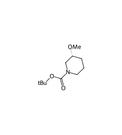 CO[C@@H]1CCCN(C(=O)OC(C)(C)C)C1